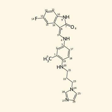 Cc1cc(NC=C2C(=O)Nc3ccc(F)cc32)ccc1NCCCn1ccnc1